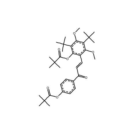 COc1c(C=CC(=O)c2ccc(OC(=O)C(C)(C)C)cc2)c(OC(=O)C(C)(C)C)c(C(C)(C)C)c(OC)c1C(C)(C)C